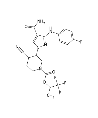 CC(OC(=O)N1CCC(C#N)C(n2cc(C(N)=O)c(Nc3ccc(F)cc3)n2)C1)C(F)(F)F